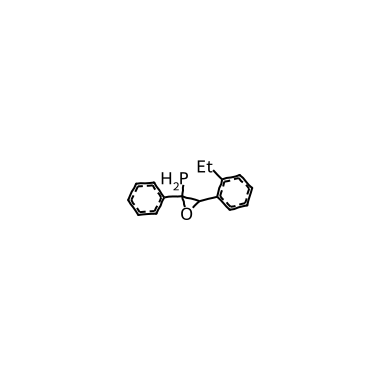 CCc1ccccc1C1OC1(P)c1ccccc1